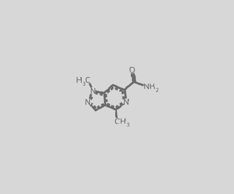 Cc1nc(C(N)=O)cc2c1cnn2C